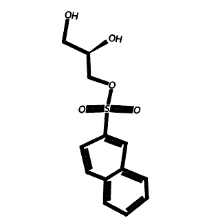 O=S(=O)(OC[C@H](O)CO)c1ccc2ccccc2c1